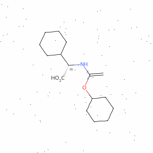 C=C(N[C@H](C(=O)O)C1CCCCC1)OC1CCCCC1